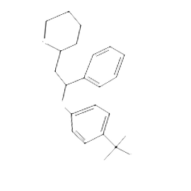 FC(F)(F)c1ccc(OC(CC2CCCCN2)c2ccccc2)cc1